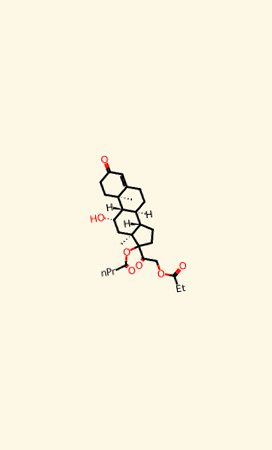 CCCC(=O)OC1(C(=O)COC(=O)CC)CC[C@H]2[C@@H]3CCC4=CC(=O)CC[C@]4(C)[C@H]3[C@@H](O)C[C@@]21C